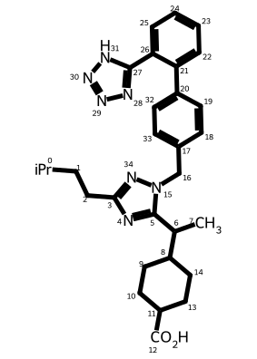 CC(C)CCc1nc(C(C)C2CCC(C(=O)O)CC2)n(Cc2ccc(-c3ccccc3-c3nnn[nH]3)cc2)n1